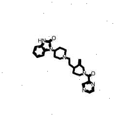 C=C1CN(C(=O)c2cnccn2)CCC1CCN1CCC(n2c(=O)[nH]c3ccccc32)CC1